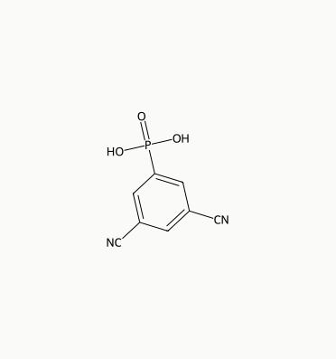 N#Cc1cc(C#N)cc(P(=O)(O)O)c1